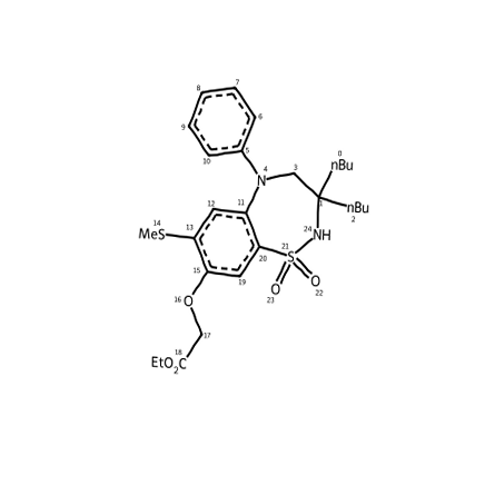 CCCCC1(CCCC)CN(c2ccccc2)c2cc(SC)c(OCC(=O)OCC)cc2S(=O)(=O)N1